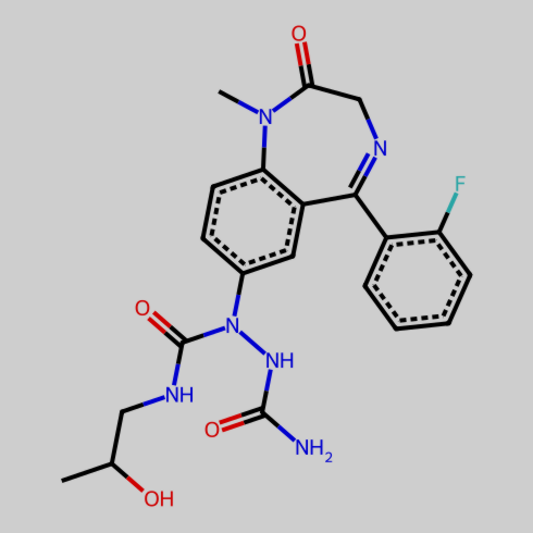 CC(O)CNC(=O)N(NC(N)=O)c1ccc2c(c1)C(c1ccccc1F)=NCC(=O)N2C